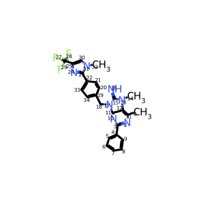 Cc1nc(-c2ccccc2)nc2c1n(C)c(=N)n2Cc1ccc(-c2nc(C(F)(F)F)cn2C)cc1